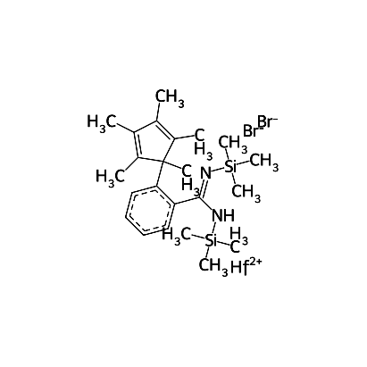 CC1=C(C)C(C)(c2ccccc2C(=N[Si](C)(C)C)N[Si](C)(C)C)C(C)=C1C.[Br-].[Br-].[Hf+2]